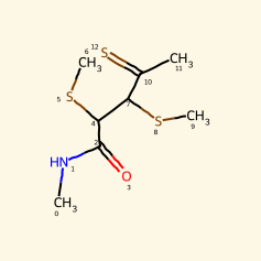 CNC(=O)C(SC)C(SC)C(C)=S